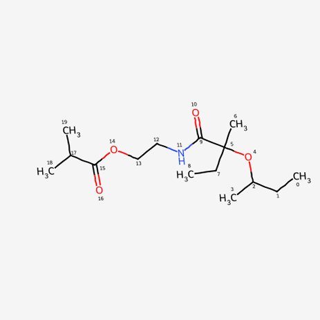 CCC(C)OC(C)(CC)C(=O)NCCOC(=O)C(C)C